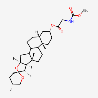 C[C@@H]1CC[C@@]2(OC1)O[C@H]1CC3C4CC[C@@H]5C[C@H](OC(=O)CNC(=O)OC(C)(C)C)CC[C@]5(C)C4CC[C@]3(C)[C@H]1[C@@H]2C